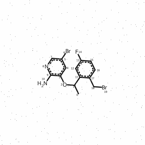 CC(Oc1cc(Br)cnc1N)c1cc(F)ccc1CBr